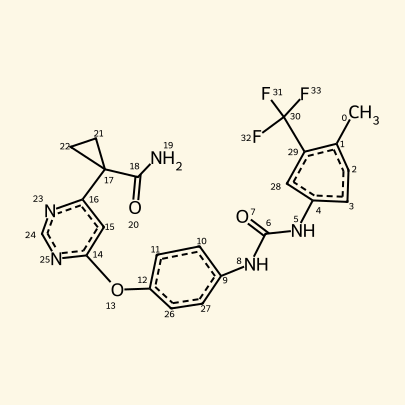 Cc1ccc(NC(=O)Nc2ccc(Oc3cc(C4(C(N)=O)CC4)ncn3)cc2)cc1C(F)(F)F